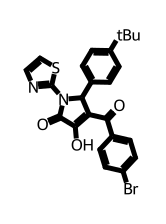 CC(C)(C)c1ccc(C2C(C(=O)c3ccc(Br)cc3)=C(O)C(=O)N2c2nccs2)cc1